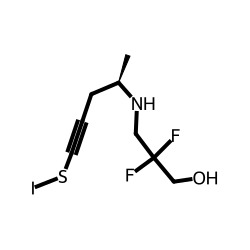 C[C@H](CC#CSI)NCC(F)(F)CO